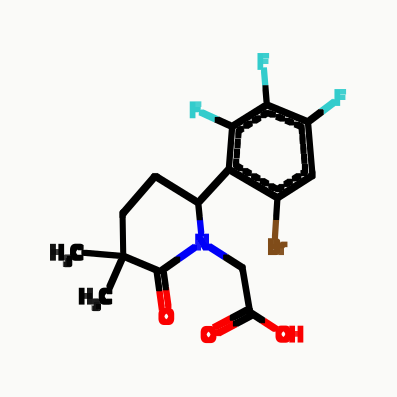 CC1(C)CCC(c2c(Br)cc(F)c(F)c2F)N(CC(=O)O)C1=O